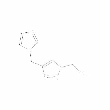 O=C(O)Cn1cc(Cn2ccnc2)nn1